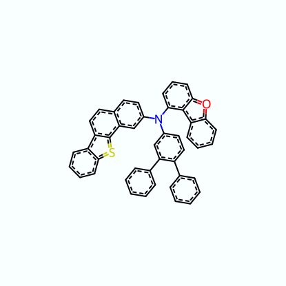 c1ccc(-c2ccc(N(c3ccc4ccc5c6ccccc6sc5c4c3)c3cccc4oc5ccccc5c34)cc2-c2ccccc2)cc1